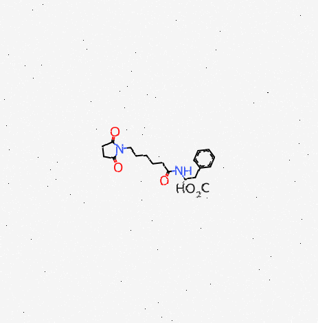 O=C(CCCCCN1C(=O)CCC1=O)N[C@H](Cc1ccccc1)C(=O)O